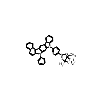 CC1(C)OB(c2ccc(-n3c4ccccc4c4cc5c6c7ccccc7ccc6n(-c6ccccc6)c5cc43)nc2)OC1(C)C